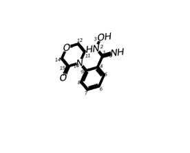 N=C(NO)c1ccccc1N1CCOCC1=O